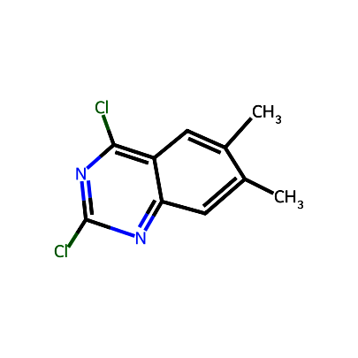 Cc1cc2nc(Cl)nc(Cl)c2cc1C